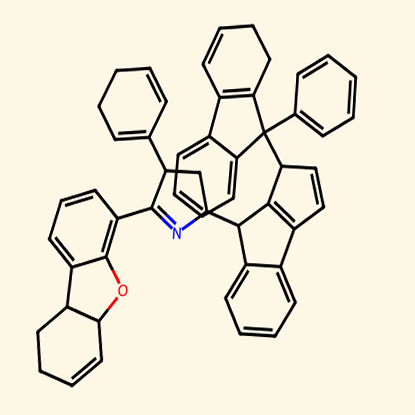 C1=CC(C2CC(C3C4=C(C=CC4C4(c5ccccc5)C5=C(C=CCC5)c5ccccc54)c4ccccc43)N=C2c2cccc3c2OC2C=CCCC32)=CCC1